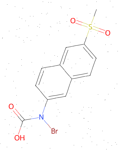 CS(=O)(=O)c1ccc2cc(N(Br)C(=O)O)ccc2c1